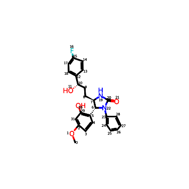 COc1ccc([C@@H]2[C@@H](CC[C@H](O)c3ccc(F)cc3)NC(=O)N2c2ccccc2)c(O)c1